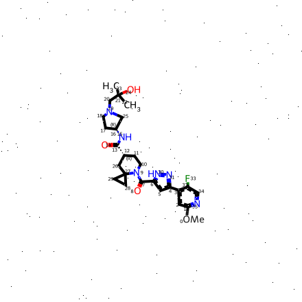 COc1cc(-c2cc(C(=O)N3CC[C@@H](C(=O)N[C@@H]4CCN(CC(C)(C)O)C4)CC34CC4)[nH]n2)c(F)cn1